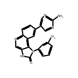 Nc1ncc(-c2ccc3ncc4[nH]c(=O)n(-c5cccc(C(F)(F)F)c5)c4c3c2)cn1